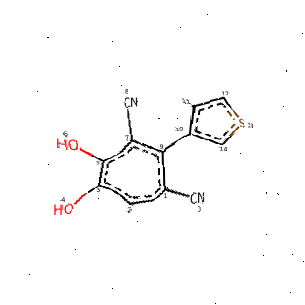 N#Cc1cc(O)c(O)c(C#N)c1-c1ccsc1